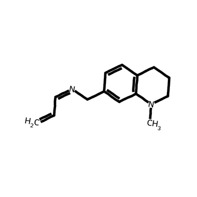 C=C/C=N\Cc1ccc2c(c1)N(C)CCC2